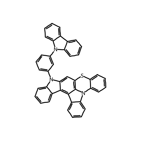 c1cc(-n2c3ccccc3c3ccccc32)cc(-n2c3ccccc3c3c4c5ccccc5n5c4c(cc32)Sc2ccccc2-5)c1